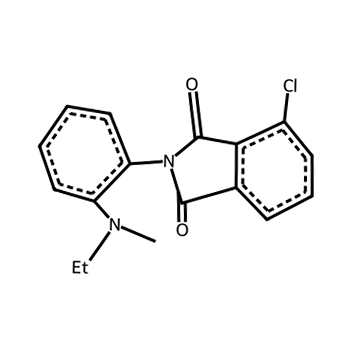 CCN(C)c1ccccc1N1C(=O)c2cccc(Cl)c2C1=O